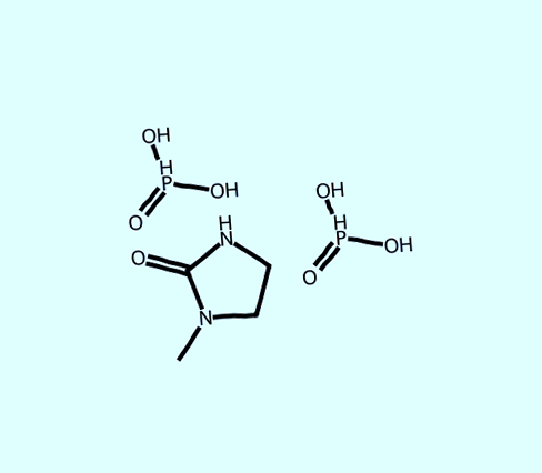 CN1CCNC1=O.O=[PH](O)O.O=[PH](O)O